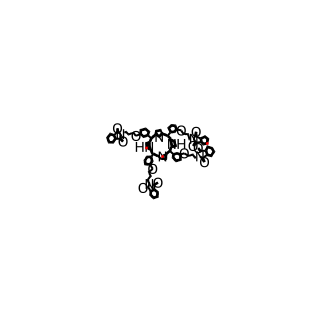 O=C1c2ccccc2C(=O)N1CCCOc1cccc(-c2c3nc(c(-c4cccc(OCCCN5C(=O)c6ccccc6C5=O)c4)c4ccc([nH]4)c(-c4cccc(OCCCN5C(=O)c6ccccc6C5=O)c4)c4nc(c(-c5cccc(OCCCN6C(=O)c7ccccc7C6=O)c5)c5ccc2[nH]5)C=C4)C=C3)c1